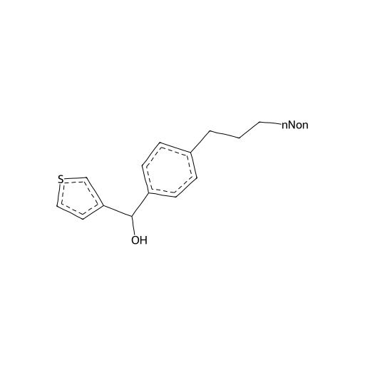 CCCCCCCCCCCCc1ccc(C(O)c2ccsc2)cc1